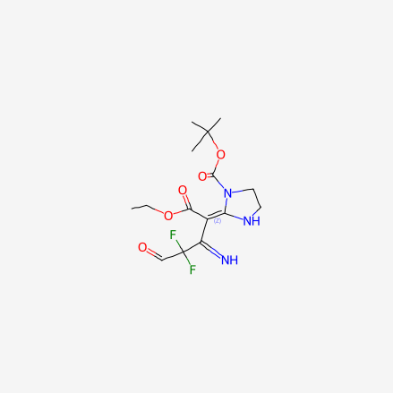 CCOC(=O)/C(C(=N)C(F)(F)C=O)=C1/NCCN1C(=O)OC(C)(C)C